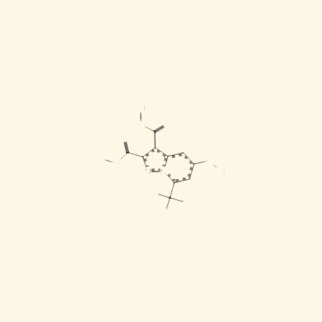 COC(=O)c1nn2c(C(F)(F)F)cc(OC)cc2c1C(=O)OC